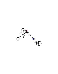 C=CC(CCC=O)[N+](CC)(C[C@@H](C)CCCC/C(C)=C/CCN1CCCCCC1)C(C)=O